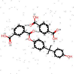 CC(C)(c1ccc(O)cc1)c1ccc(OC(=O)c2cccc(C(=O)O)c2)cc1.O=C(O)c1ccc(C(=O)O)cc1